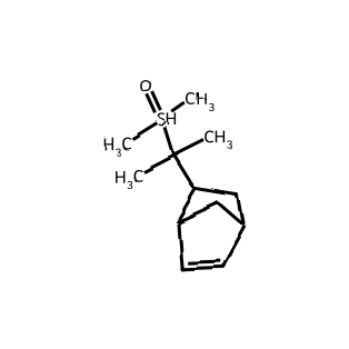 CC(C)(C1CC2C=CC1C2)[SH](C)(C)=O